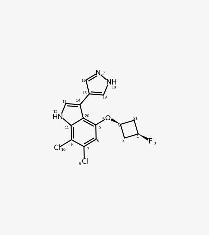 F[C@H]1C[C@@H](Oc2cc(Cl)c(Cl)c3[nH]cc(-c4cn[nH]c4)c23)C1